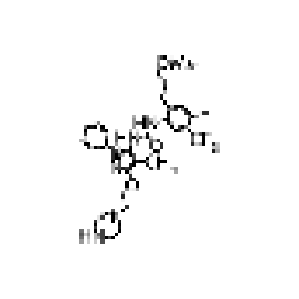 COCCCc1cc(F)c(C(F)(F)F)cc1NC(=O)Nc1c(C)c(OCCN2CCNCC2)nn1-c1ccccc1